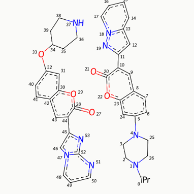 CC(C)N1CCN(c2ccc3cc(-c4cc5ccccn5n4)c(=O)oc3c2)CC1.O=c1oc2cc(OC3CCNCC3)ccc2cc1-c1cn2cccnc2n1